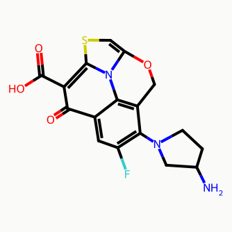 NC1CCN(c2c(F)cc3c(=O)c(C(=O)O)c4scc5n4c3c2CO5)C1